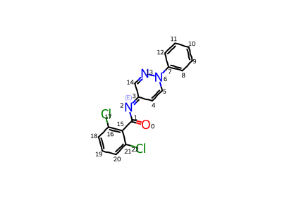 O=C(/N=c1\ccn(-c2ccccc2)nc1)c1c(Cl)cccc1Cl